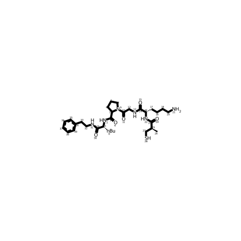 CCCC[C@@H](NC(=O)C1CCCN1C(=O)CNC(=O)[C@H](CCCCN)NC(=O)[C@@H](C)CS)C(=O)NCCc1ccccc1